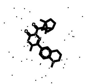 CC1SC(=O)N(C(=O)C2CC3CCC2(C)C3(C)C)N=C1c1ccc2c(c1)CCCN2C